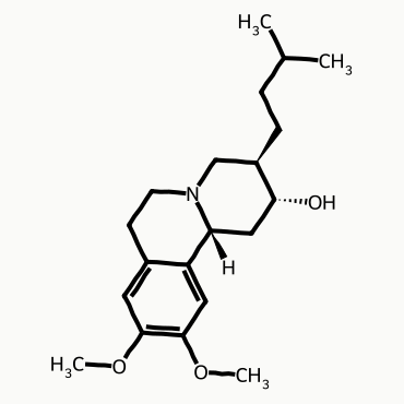 COc1cc2c(cc1OC)[C@H]1C[C@@H](O)[C@H](CCC(C)C)CN1CC2